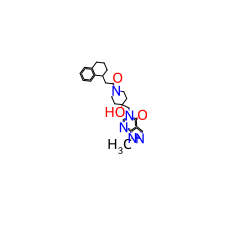 Cn1ncc2c(=O)n(CC3(O)CCN(C(=O)CC4CCCc5ccccc54)CC3)cnc21